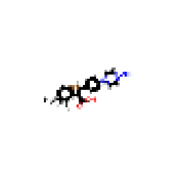 CC1(C)CCc2sc(-c3ccc(N4CCN(N)CC4)cc3)c(C(=O)O)c2C1